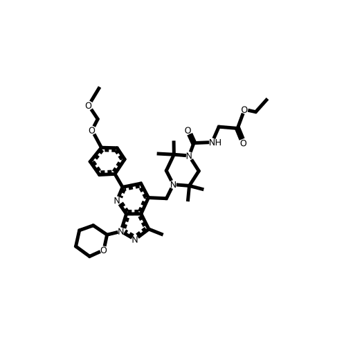 CCOC(=O)CNC(=O)N1CC(C)(C)N(Cc2cc(-c3ccc(OCOC)cc3)nc3c2c(C)nn3C2CCCCO2)CC1(C)C